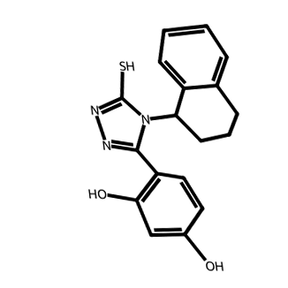 Oc1ccc(-c2nnc(S)n2C2CCCc3ccccc32)c(O)c1